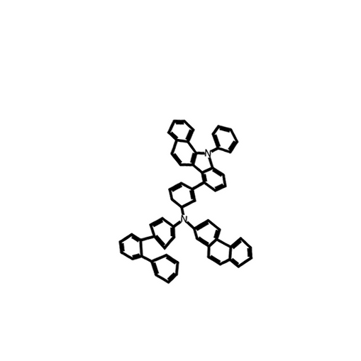 C1=CC(c2cccc3c2c2ccc4ccccc4c2n3-c2ccccc2)=CC(N(c2ccc(-c3ccccc3-c3ccccc3)cc2)c2ccc3c(ccc4ccccc43)c2)C1